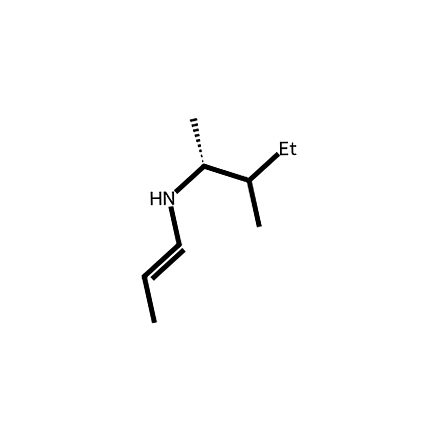 C/C=C/N[C@H](C)C(C)CC